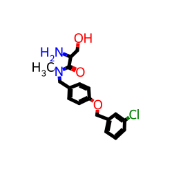 CN(Cc1ccc(OCc2cccc(Cl)c2)cc1)C(=O)C(N)CO